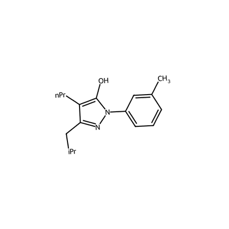 CCCc1c(CC(C)C)nn(-c2cccc(C)c2)c1O